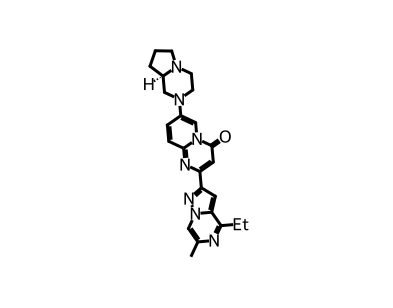 CCc1nc(C)cn2nc(-c3cc(=O)n4cc(N5CCN6CCC[C@@H]6C5)ccc4n3)cc12